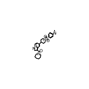 CN(C)c1ccc(S(=O)(=O)N2CCC(c3ccn4ncc(C(=O)N5CCCCCC5)c4c3)CC2)cc1